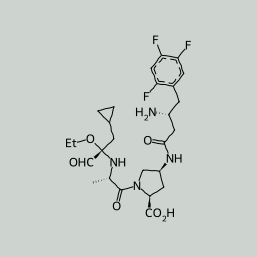 CCO[C@](C=O)(CC1CC1)N[C@@H](C)C(=O)N1C[C@@H](NC(=O)C[C@H](N)Cc2cc(F)c(F)cc2F)C[C@H]1C(=O)O